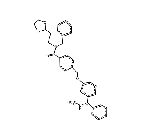 O=C(O)N[C@@H](c1ccccc1)c1cccc(OCc2ccc(C(=O)N(CCC3OCCO3)Cc3ccccc3)cc2)c1